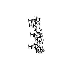 CC(C)NC(=O)NC1CCCC(Nc2nc(-c3c[nH]c4ncncc34)ncc2F)C1